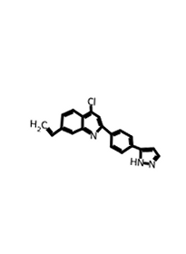 C=Cc1ccc2c(Cl)cc(-c3ccc(-c4ccn[nH]4)cc3)nc2c1